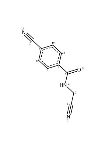 N#CCNC(=O)c1ccc(C#N)cc1